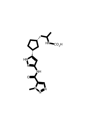 CC(C[C@H]1CC[C@@H](c2cc(NC(=O)c3cnnn3C)n[nH]2)C1)NC(=O)O